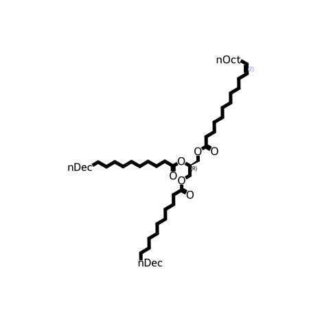 CCCCCCCC/C=C\CCCCCCCCCC(=O)OC[C@@H](COC(=O)CCCCCCCCCCCCCCCCCCC)OC(=O)CCCCCCCCCCCCCCCCCCC